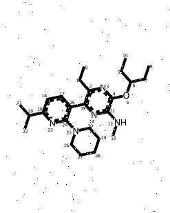 CCc1nc(OC(CC)CC)c(NC)nc1-c1ccc(C(C)C)nc1N1CCCCC1